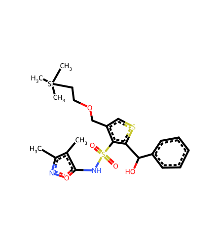 Cc1noc(NS(=O)(=O)c2c(COCC[Si](C)(C)C)csc2C(O)c2ccccc2)c1C